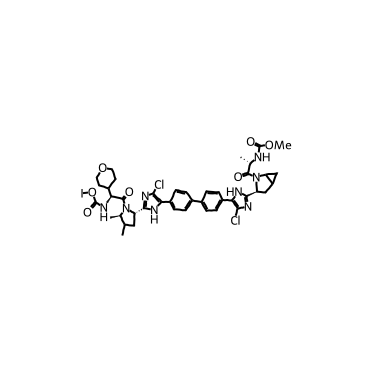 COC(=O)N[C@@H](C)C(=O)N1C2CC2C[C@H]1c1nc(Cl)c(-c2ccc(-c3ccc(-c4[nH]c([C@@H]5CC(C)[C@@H](C)N5C(=O)[C@@H](NC(=O)OI)C5CCOCC5)nc4Cl)cc3)cc2)[nH]1